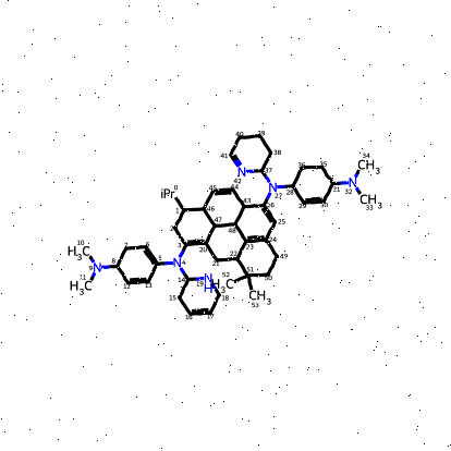 CC(C)C1CC(N(C2=CCC(N(C)C)C=C2)C2CC=CCN2)=C2CC3C4=C(C=C(N(C5C=CC(N(C)C)CC5)C5CCCC=N5)C5C=CC1C2C45)CCC3(C)C